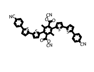 Cc1c(C(=O)OC#N)c(-c2ccc(-c3ccc(-c4ccc(C#N)cc4)s3)s2)c(C)c(C(=O)OC#N)c1-c1ccc(-c2ccc(-c3ccc(C#N)cc3)s2)s1